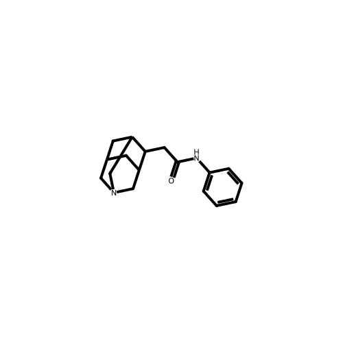 O=C(CC1C2CC3CC1CN(C3)C2)Nc1ccccc1